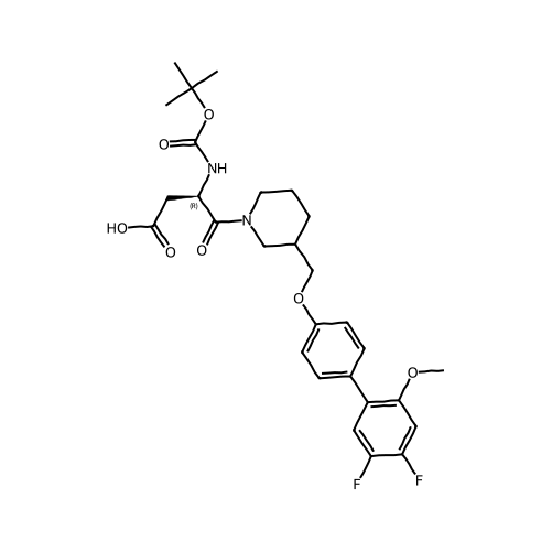 COc1cc(F)c(F)cc1-c1ccc(OCC2CCCN(C(=O)[C@@H](CC(=O)O)NC(=O)OC(C)(C)C)C2)cc1